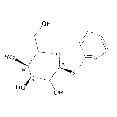 OCC1O[C@@H](Sc2ccccc2)C(O)[C@@H](O)[C@H]1O